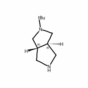 CC(C)(C)N1C[C@H]2CNC[C@@H]2C1